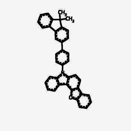 CC1(C)c2ccccc2-c2cc(-c3ccc(-n4c5ccccc5c5c6oc7ccccc7c6ccc54)cc3)ccc21